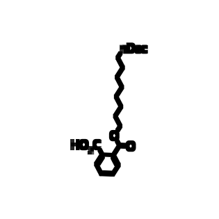 CCCCCCCCCCCCCCCCCCOC(=O)c1ccccc1C(=O)O